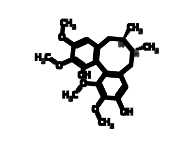 COc1cc2c(c(O)c1OC)-c1c(cc(O)c(OC)c1OC)C[C@@H](C)[C@@H](C)C2